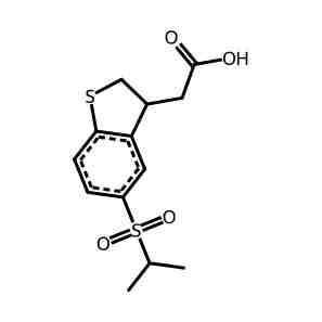 CC(C)S(=O)(=O)c1ccc2c(c1)C(CC(=O)O)CS2